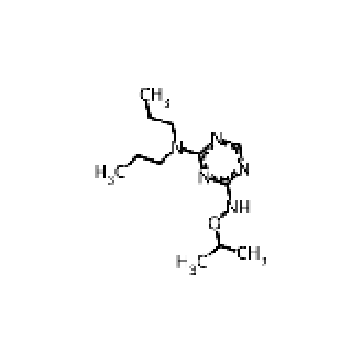 CCCN(CCC)c1ncnc(NOC(C)C)n1